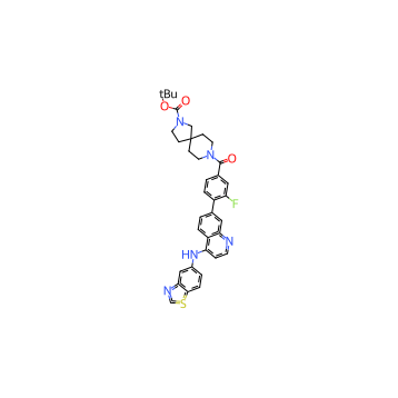 CC(C)(C)OC(=O)N1CCC2(CCN(C(=O)c3ccc(-c4ccc5c(Nc6ccc7scnc7c6)ccnc5c4)c(F)c3)CC2)C1